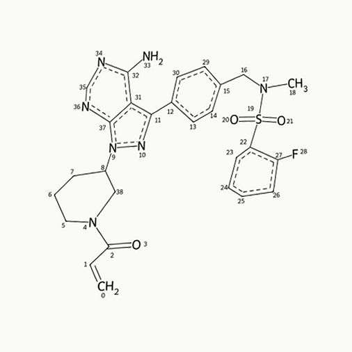 C=CC(=O)N1CCCC(n2nc(-c3ccc(CN(C)S(=O)(=O)c4ccccc4F)cc3)c3c(N)ncnc32)C1